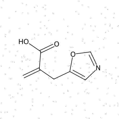 C=C(Cc1cnco1)C(=O)O